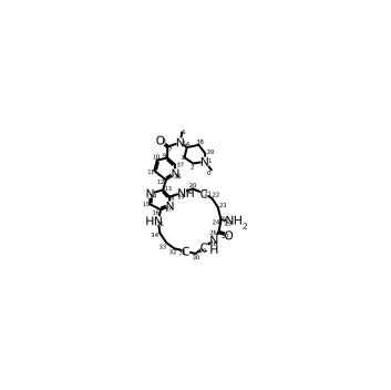 CN1CCC(N(C)C(=O)c2ccc(-c3ncc4nc3NCCCC[C@@H](N)C(=O)NCCCCCCN4)nc2)CC1